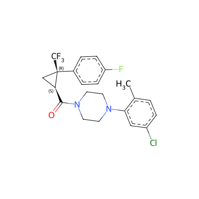 Cc1ccc(Cl)cc1N1CCN(C(=O)[C@H]2C[C@@]2(c2ccc(F)cc2)C(F)(F)F)CC1